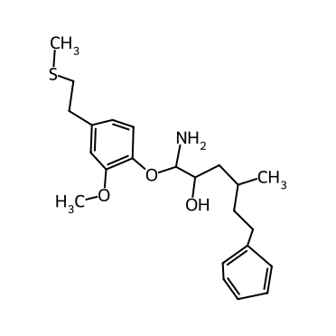 COc1cc(CCSC)ccc1OC(N)C(O)CC(C)CCc1ccccc1